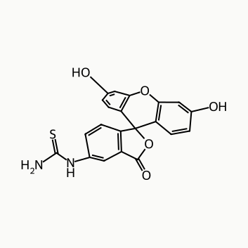 NC(=S)Nc1ccc2c(c1)C(=O)OC21c2ccc(O)cc2Oc2cc(O)ccc21